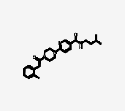 Cc1ccccc1CC(=O)N1CCN(c2ccc(C(=O)NCCC(C)C)cn2)CC1